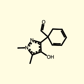 Cc1c(O)c(C2(C=O)C=CC=CC2)nn1C